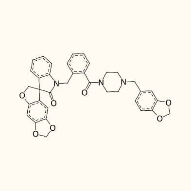 O=C(c1ccccc1CN1C(=O)C2(COc3cc4c(cc32)OCO4)c2ccccc21)N1CCN(Cc2ccc3c(c2)OCO3)CC1